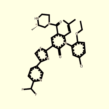 CCOc1ccc(Cl)cc1-n1c(C=C(C)C)c(C(=O)N2CCN[C@@H](C)C2)cc(-c2nc(-c3ccc(C(F)F)nc3)cs2)c1=O